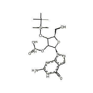 CC(C)(C)[Si](C)(C)OC1C(O[PH](=O)O)[C@H](n2ncc3c(=O)[nH]c(N)nc32)O[C@@H]1CO